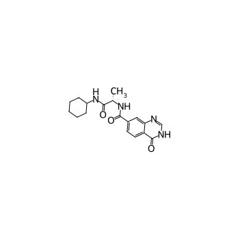 C[C@H](NC(=O)c1ccc2c(=O)[nH]cnc2c1)C(=O)NC1CCCCC1